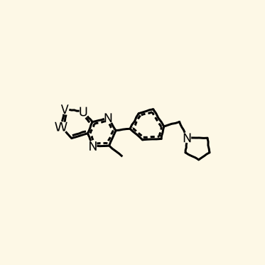 Cc1nc2[c](nc1-c1ccc(CN3CCCC3)cc1)=[U][V]=[W][CH]=2